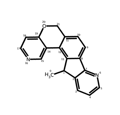 CC1c2cccnc2-c2ccc3c(c21)-c1cnccc1OC3